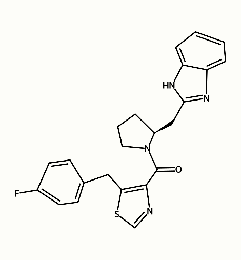 O=C(c1ncsc1Cc1ccc(F)cc1)N1CCC[C@H]1Cc1nc2ccccc2[nH]1